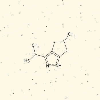 CC(S)c1n[nH]c2c1CN(C)C2